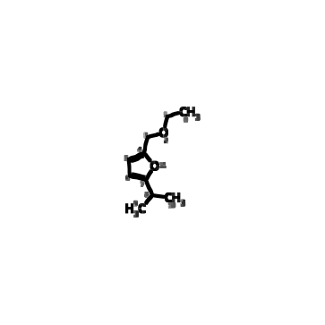 CCOCc1ccc(C(C)C)o1